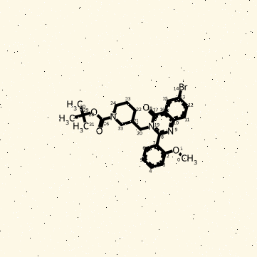 COc1ccccc1-c1nc2ccc(Br)cc2c(=O)n1CC1CCCN(C(=O)OC(C)(C)C)C1